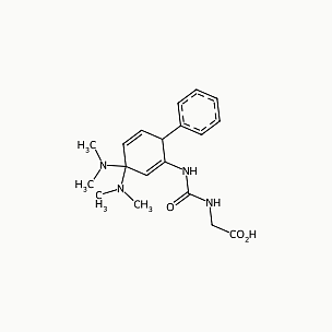 CN(C)C1(N(C)C)C=CC(c2ccccc2)C(NC(=O)NCC(=O)O)=C1